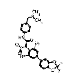 CC(C)c1cc(-c2ccc3c(c2)OC(F)(F)O3)cc(C(C)C)c1C(C(=O)Nc1ccc(CN(C)C)cc1)[SH](=O)=O